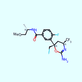 COC[C@H](C)NC(=O)c1ccc(F)c([C@]2(CF)C[C@@H](C(F)(F)F)N=C(N)O2)c1